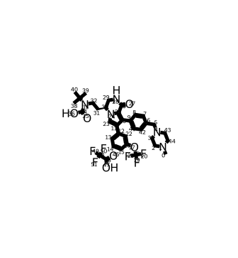 CN1CCN(Cc2ccc(-c3c(-c4cccc(OC(F)(F)F)c4)cn4c3C(=O)NC[C@@H]4CCN(C(=O)O)C(C)(C)C)cc2)CC1.O=C(O)C(F)(F)F